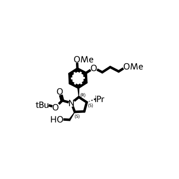 COCCCOc1cc([C@H]2[C@H](C(C)C)C[C@@H](CO)N2C(=O)OC(C)(C)C)ccc1OC